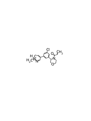 C=CC(=O)N1CCOCC1c1cc(Cl)cc(C(/C=N\N=C)=C/C)c1